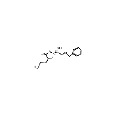 CCCC1C[C@@H]([C@H](O)COCc2ccccc2)OC1=O